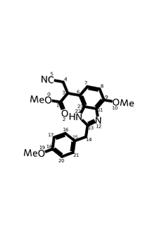 COC(=O)C(CC#N)c1ccc(OC)c2nc(Cc3ccc(OC)cc3)[nH]c12